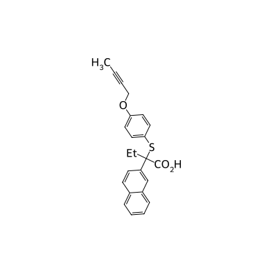 CC#CCOc1ccc(SC(CC)(C(=O)O)c2ccc3ccccc3c2)cc1